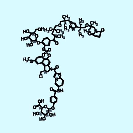 COc1ccc2c(OS(=O)(=O)Oc3cc(C(=O)N(C)CC(C)(C)COCC(C)(C)Cn4cc(C(C)(C)COC(C)(C)CN5C(=O)C=CC5=O)nn4)ccc3O[C@@H]3O[C@H](CO)[C@H](O)[C@H](O)[C@H]3O)cc3c(c2c1)[C@H](CCl)CN3C(=O)c1cn2cc(NC(=O)c3ccc(O[C@@H]4O[C@H](C(=O)O)[C@@H](O)[C@H](O)[C@H]4O)cc3)ccc2n1